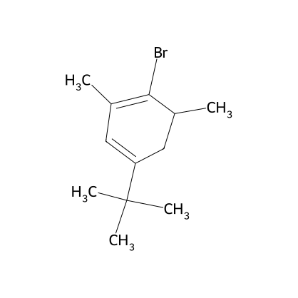 CC1=C(Br)C(C)CC(C(C)(C)C)=C1